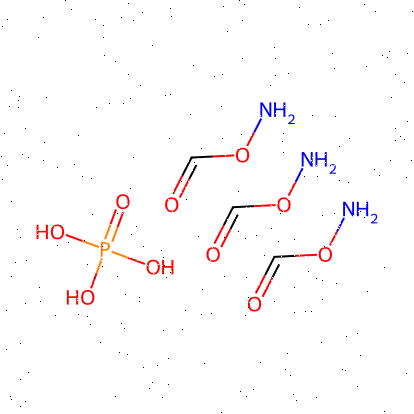 NOC=O.NOC=O.NOC=O.O=P(O)(O)O